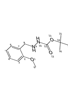 COc1ccccc1CNNC(=O)OC(C)(C)C